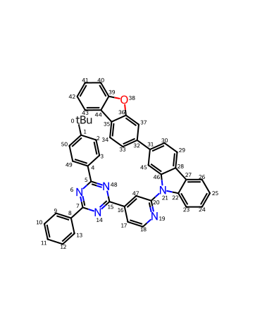 CC(C)(C)c1ccc(-c2nc(-c3ccccc3)nc(-c3ccnc(-n4c5ccccc5c5ccc(-c6ccc7c(c6)oc6ccccc67)cc54)c3)n2)cc1